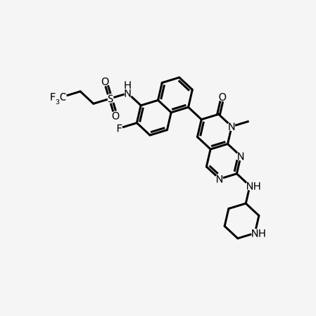 Cn1c(=O)c(-c2cccc3c(NS(=O)(=O)CCC(F)(F)F)c(F)ccc23)cc2cnc(NC3CCCNC3)nc21